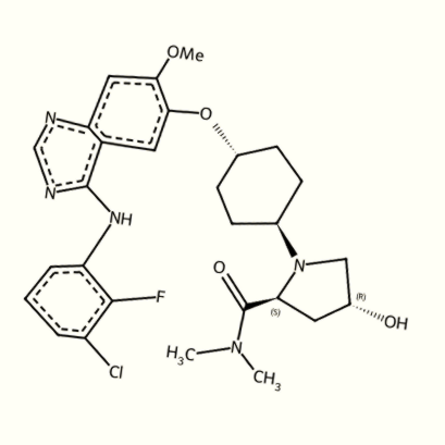 COc1cc2ncnc(Nc3cccc(Cl)c3F)c2cc1O[C@H]1CC[C@H](N2C[C@H](O)C[C@H]2C(=O)N(C)C)CC1